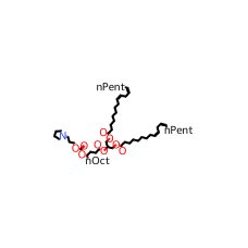 CCCCC/C=C\C/C=C\CCCCCCCC(=O)OCC(COC(=O)CCCCCCC/C=C\C/C=C\CCCCC)OC(=O)CCC(CCCCCCCC)OC(=O)OCCCN1CCCC1